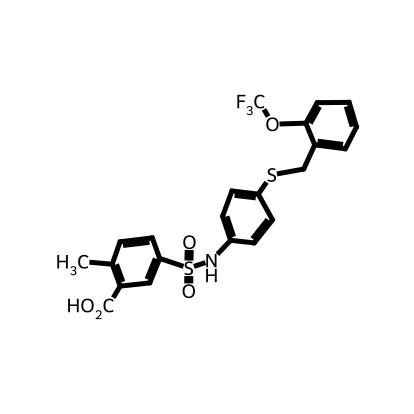 Cc1ccc(S(=O)(=O)Nc2ccc(SCc3ccccc3OC(F)(F)F)cc2)cc1C(=O)O